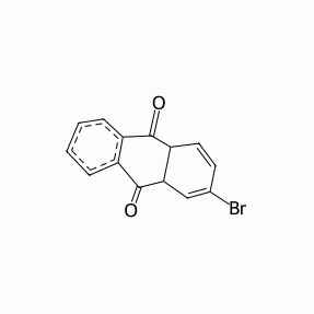 O=C1c2ccccc2C(=O)C2C=C(Br)C=CC12